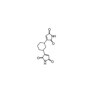 O=C1C=C(C2CCCC(C3=CC(=O)NC3=O)C2)C(=O)N1